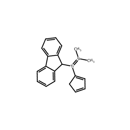 C[Si](C)=[Ti]([C]1=CC=CC1)[CH]1c2ccccc2-c2ccccc21